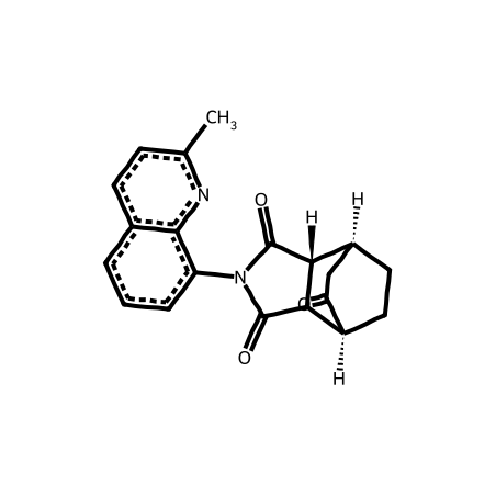 Cc1ccc2cccc(N3C(=O)C4[C@@H]5CC[C@@H](CC5=O)[C@H]4C3=O)c2n1